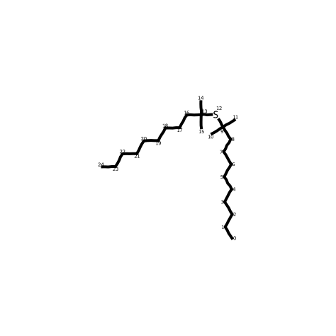 CCCCCCCCCC(C)(C)SC(C)(C)CCCCCCCCC